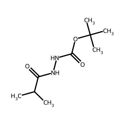 CC(C)C(=O)NNC(=O)OC(C)(C)C